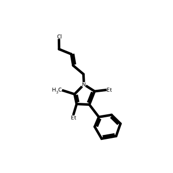 CCc1c(-c2ccccc2)c(CC)n(CC=CCCl)c1C